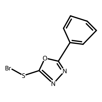 BrSc1nnc(-c2ccccc2)o1